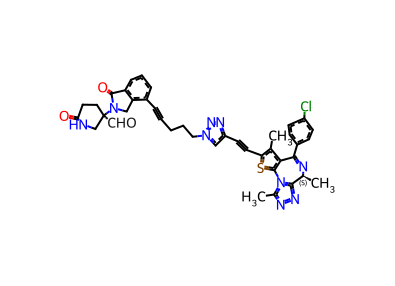 Cc1c(C#Cc2cn(CCCC#Cc3cccc4c3CN(C3(C=O)CCC(=O)NC3)C4=O)nn2)sc2c1C(c1ccc(Cl)cc1)=N[C@@H](C)c1nnc(C)n1-2